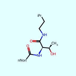 CCCCCCCCCC(=O)N[C@@H](C(=O)NCCC(C)C)[C@@H](C)O